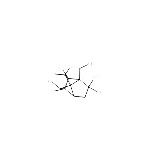 ClCC1(C(Cl)Cl)C2CC(Cl)(Cl)C1(CCl)C(Cl)C2Cl